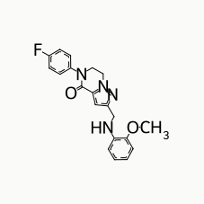 COc1ccccc1NCc1cc2n(n1)CCN(c1ccc(F)cc1)C2=O